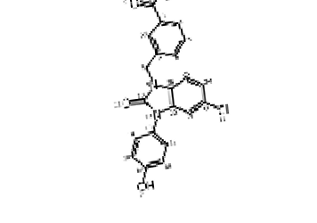 O=C(O)c1cccc(Cn2c(=O)n(-c3ccc(O)cc3)c3cc(Cl)ccc32)c1